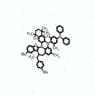 Cc1cc2c3c(c1)N(c1c(C)cc(N(c4ccccc4)c4ccccc4)cc1C)c1cc4c(cc1B3c1oc3ccc(C(C)(C)C)cc3c1C([C@@H](C)c1ccc(C(C)(C)C)cc1)C2)C(C)(C)CCC4(C)C